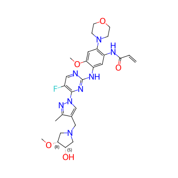 C=CC(=O)Nc1cc(Nc2ncc(F)c(-n3cc(CN4C[C@H](O)[C@H](OC)C4)c(C)n3)n2)c(OC)cc1N1CCOCC1